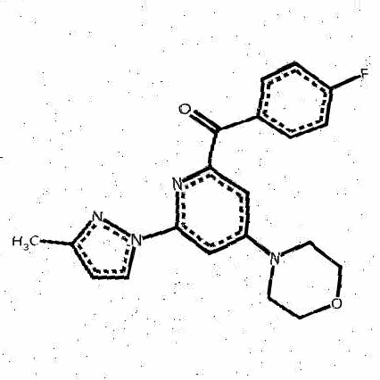 Cc1ccn(-c2cc(N3CCOCC3)cc(C(=O)c3ccc(F)cc3)n2)n1